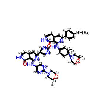 CC(=O)Nc1ccc(-c2cc3cc[nH]c(=O)c3c(Nc3ccc(N4CCO[C@H](C)C4)c(C)c3)n2)cc1.C[C@@H]1CN(c2ncc(Nc3nc(-c4cncnc4)cc4cc[nH]c(=O)c34)cn2)CCO1